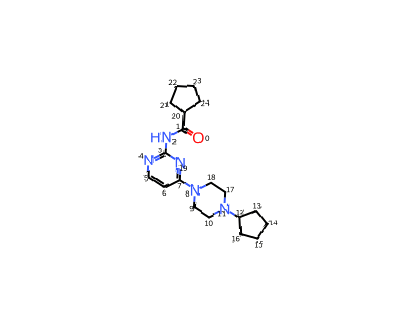 O=C(Nc1nccc(N2CCN(C3CCCC3)CC2)n1)C1CCCC1